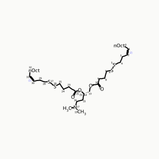 CCCCCCCC/C=C\CCSSCCCC(=O)OC[C@H](CCN(C)C)OC(=O)CCCSSCC/C=C\CCCCCCCC